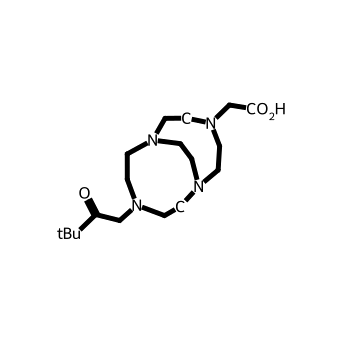 CC(C)(C)C(=O)CN1CCN2CCN(CCN(CC(=O)O)CC2)CC1